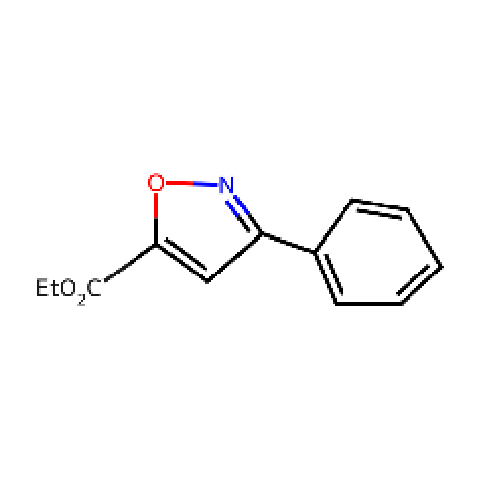 CCOC(=O)c1cc(-c2ccccc2)no1